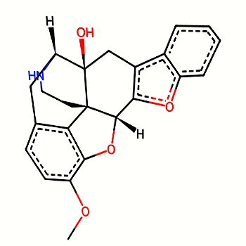 COc1ccc2c3c1O[C@H]1c4oc5ccccc5c4C[C@@]4(O)[C@@H](C2)NCC[C@]314